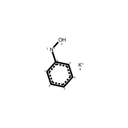 O[N-]c1ccccc1.[K+]